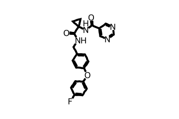 O=C(NC1(C(=O)NCc2ccc(Oc3ccc(F)cc3)cc2)CC1)c1cncnc1